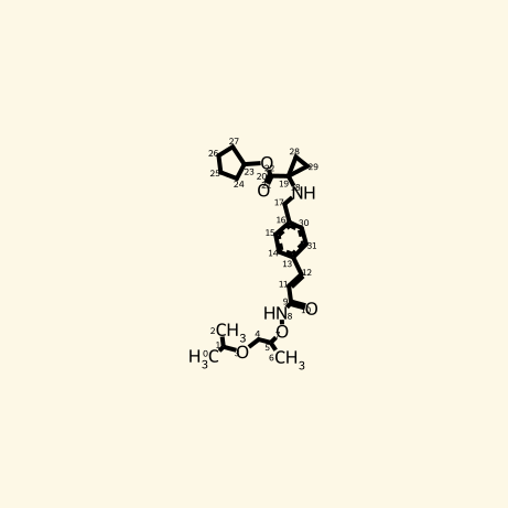 CC(C)OCC(C)ONC(=O)/C=C/c1ccc(CNC2(C(=O)OC3CCCC3)CC2)cc1